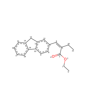 CCOC(=O)C(=Cc1ccc2c(c1)Cc1ccccc1-2)CC